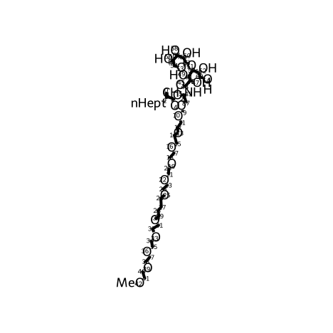 C=C(CCCCCCC)C(=O)OC(COCOCCOCCOCCOCCOCCOCCCCOCCOCCOCCOCCOC)NC(=O)C(O)C(O)C(O[C@@H]1OC[C@H](O)[C@H](O)C1O)C(O)CO